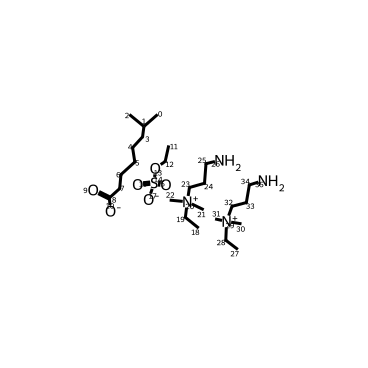 CC(C)CCCCCC(=O)[O-].CCOS(=O)(=O)[O-].CC[N+](C)(C)CCCN.CC[N+](C)(C)CCCN